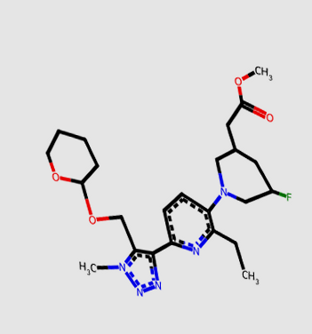 CCc1nc(-c2nnn(C)c2COC2CCCCO2)ccc1N1CC(F)CC(CC(=O)OC)C1